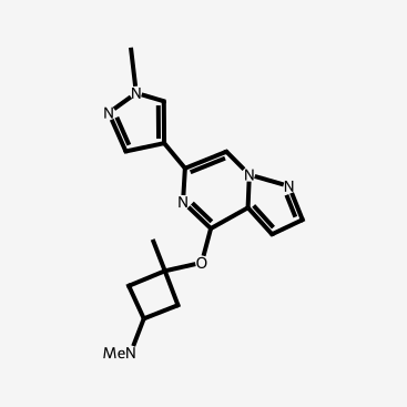 CNC1CC(C)(Oc2nc(-c3cnn(C)c3)cn3nccc23)C1